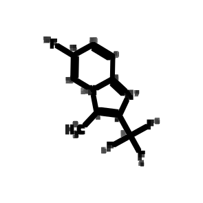 Cc1c(C(F)(F)F)nc2ccc(F)cn12